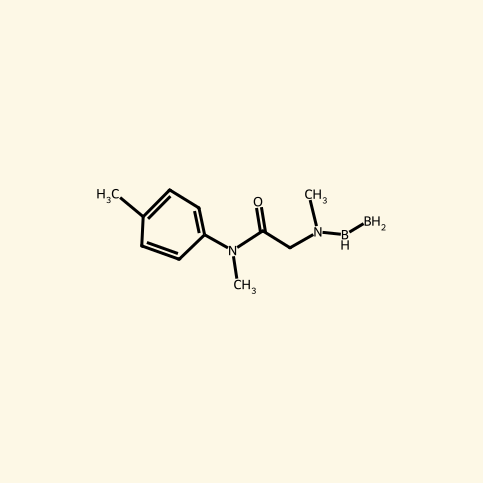 BBN(C)CC(=O)N(C)c1ccc(C)cc1